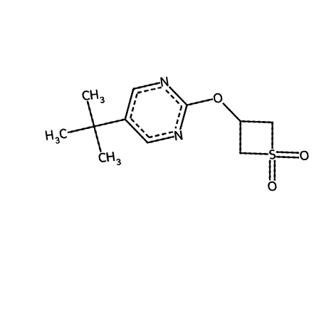 CC(C)(C)c1cnc(OC2CS(=O)(=O)C2)nc1